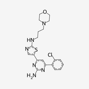 Nc1nc(-c2cnc(NCCCN3CCOCC3)s2)cc(-c2ccccc2Cl)n1